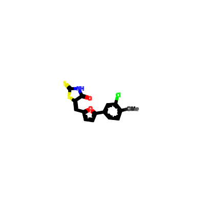 COc1ccc(-c2ccc(C=C3SC(=S)NC3=O)o2)cc1Cl